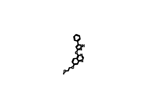 COCCOc1ccc2c(Oc3cc(-c4ccccc4)[nH]n3)ncnc2c1